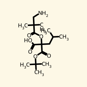 CC(C)CC(OC(=O)C(C)(C)CN)(C(=O)O)C(=O)OC(C)(C)C